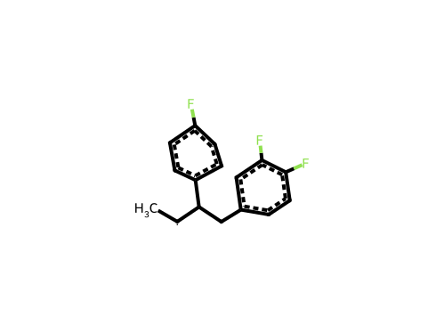 C[CH]C(Cc1ccc(F)c(F)c1)c1ccc(F)cc1